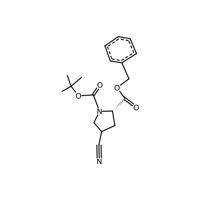 CC(C)(C)OC(=O)N1CC(C#N)C[C@H]1C(=O)OCc1ccccc1